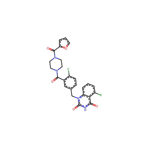 O=C(c1ccco1)N1CCN(C(=O)c2cc(Cn3c(=O)[nH]c(=O)c4c(F)cccc43)ccc2F)CC1